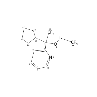 FC(F)(F)COC(c1ccccn1)(C1CCCC1)C(F)(F)F